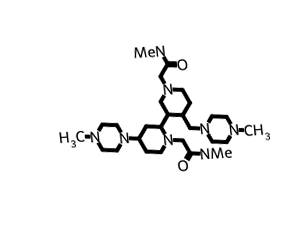 CNC(=O)CN1CCC(CN2CCN(C)CC2)C(C2CC(N3CCN(C)CC3)CCN2CC(=O)NC)C1